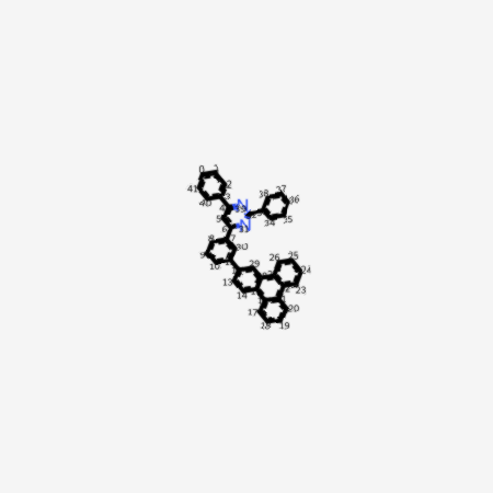 c1ccc(-c2cc(-c3cccc(-c4ccc5c6ccccc6c6ccccc6c5c4)c3)nc(-c3ccccc3)n2)cc1